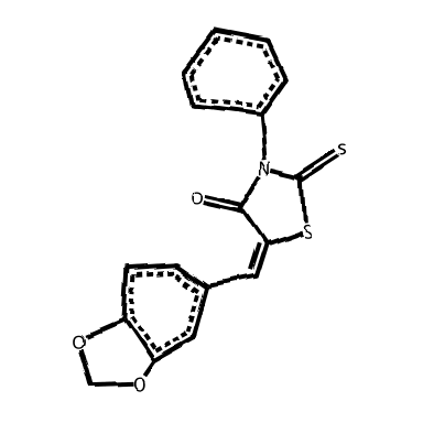 O=C1/C(=C\c2ccc3c(c2)OCO3)SC(=S)N1c1ccccc1